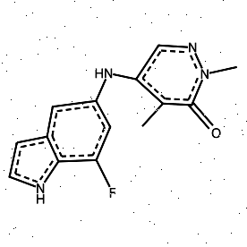 Cc1c(Nc2cc(F)c3[nH]ccc3c2)cnn(C)c1=O